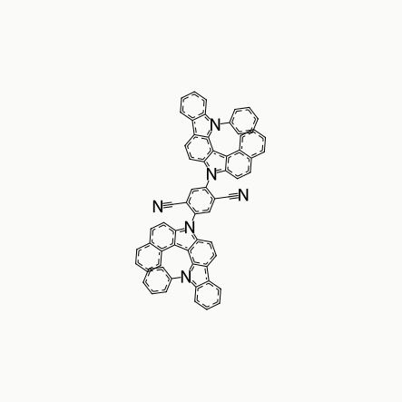 N#Cc1cc(-n2c3ccc4ccccc4c3c3c2ccc2c4ccccc4n(-c4ccccc4)c23)c(C#N)cc1-n1c2ccc3ccccc3c2c2c1ccc1c3ccccc3n(-c3ccccc3)c12